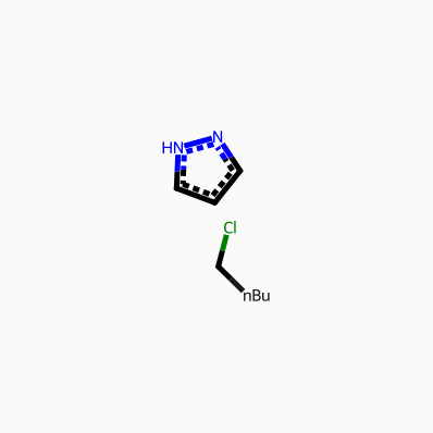 CCCCCCl.c1cn[nH]c1